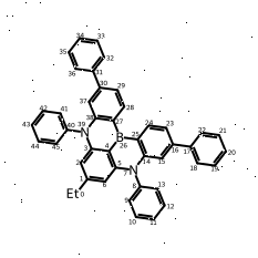 CCc1cc2c3c(c1)N(c1ccccc1)c1cc(-c4ccccc4)ccc1B3c1ccc(-c3ccccc3)cc1N2c1ccccc1